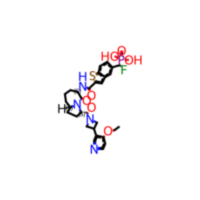 CCOc1ccncc1C1CN(C(=O)[C@@H]2CC[C@@H]3CCC[C@H](NC(=O)c4cc5cc(C(F)P(=O)(O)O)ccc5s4)C(=O)N32)C1